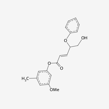 COc1cc(C)cc(OC(=O)/C=C/C(CO)Oc2ccccc2)c1